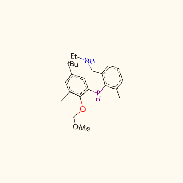 CCNCc1cccc(C)c1Pc1cc(C(C)(C)C)cc(C)c1OCOC